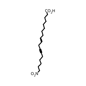 O=C(O)CCCCCCCC=CCC#CCCCCC[N+](=O)[O-]